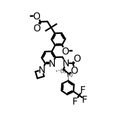 COC(=O)CC(C)(C)c1ccc(OC)c(-c2ccc(N3CCC3)nc2CN2C(=O)O[C@H](c3cccc(C(F)(F)F)c3)[C@@H]2C)c1